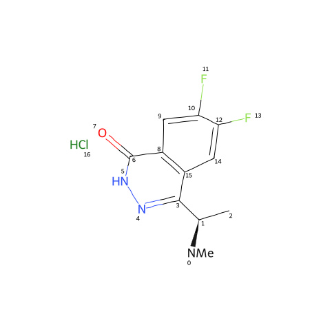 CN[C@H](C)c1n[nH]c(=O)c2cc(F)c(F)cc12.Cl